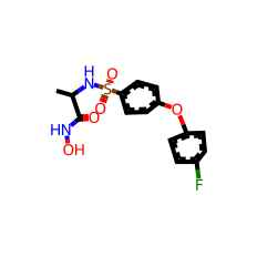 CC(NS(=O)(=O)c1ccc(Oc2ccc(F)cc2)cc1)C(=O)NO